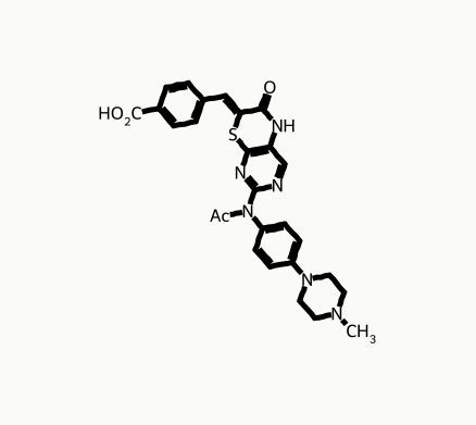 CC(=O)N(c1ccc(N2CCN(C)CC2)cc1)c1ncc2c(n1)S/C(=C\c1ccc(C(=O)O)cc1)C(=O)N2